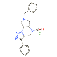 CCCN1Cc2c(-c3ccccc3)nnn2C2CN(Cc3ccccc3)CC21.OCl